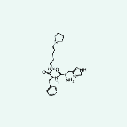 NC(Cc1c[nH]cn1)C(=O)N[C@@H](Cc1ccccc1)C(=O)NCCCCCN1CCCC1